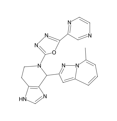 Cc1cccc2cc(C3c4nc[nH]c4CCN3c3nnc(-c4cnccn4)o3)nn12